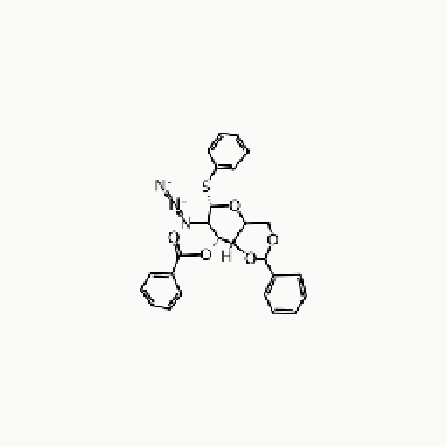 [N-]=[N+]=NC1[C@@H](OC(=O)c2ccccc2)[C@@H]2OC(c3ccccc3)OCC2O[C@H]1Sc1ccccc1